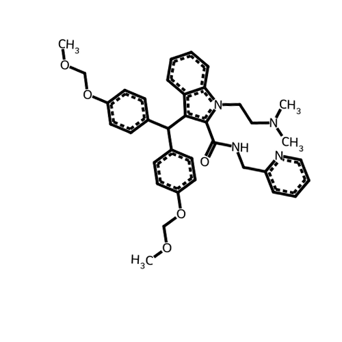 COCOc1ccc(C(c2ccc(OCOC)cc2)c2c(C(=O)NCc3ccccn3)n(CCN(C)C)c3ccccc23)cc1